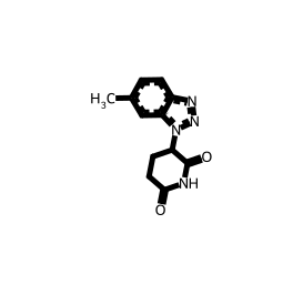 Cc1ccc2nnn(C3CCC(=O)NC3=O)c2c1